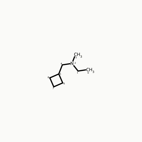 CCN(C)CC1CCC1